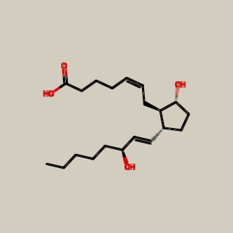 CCCCC[C@H](O)/C=C/[C@H]1CC[C@@H](O)[C@@H]1C/C=C\CCCC(=O)O